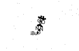 CCC(C)Oc1ncc(B2OC(C)(C)C(C)(C)O2)cn1